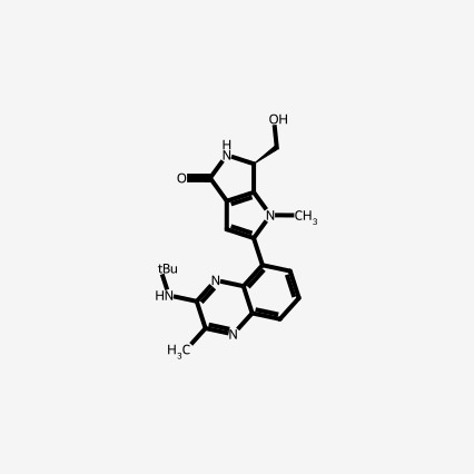 Cc1nc2cccc(-c3cc4c(n3C)[C@H](CO)NC4=O)c2nc1NC(C)(C)C